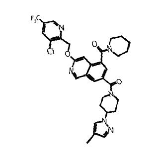 Cc1cnn(C2CCN(C(=O)c3cc(C(=O)N4CCCCC4)c4cc(OCc5ncc(C(F)(F)F)cc5Cl)ncc4c3)CC2)c1